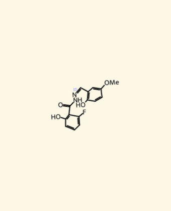 COc1ccc(O)c(/C=N\NC(=O)c2c(O)cccc2F)c1